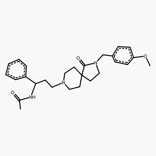 COc1ccc(CN2CCC3(CCN(CCC(NC(C)=O)c4ccccc4)CC3)C2=O)cc1